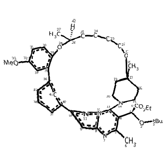 CCOC(=O)[C@@H](OC(C)(C)C)c1c(C)nc2cc3nn2c1N1CCC(C)(CC1)OCCCC[C@H](C)Oc1ccc(OC)cc1-c1cccc-3c1